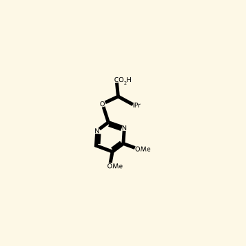 COc1cnc(OC(C(=O)O)C(C)C)nc1OC